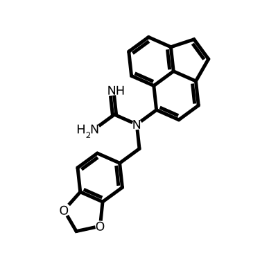 N=C(N)N(Cc1ccc2c(c1)OCO2)c1ccc2c3c(cccc13)C=C2